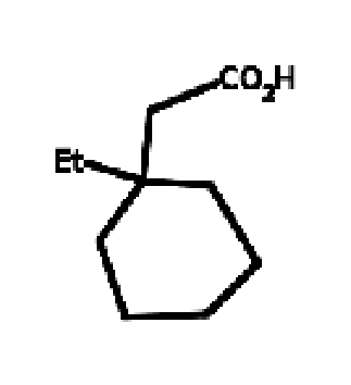 CCC1(CC(=O)O)CCCCC1